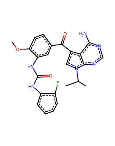 COc1ccc(C(=O)c2cn(C(C)C)c3ncnc(N)c23)cc1NC(=O)Nc1ccccc1F